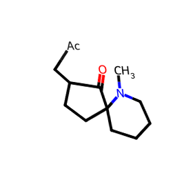 CC(=O)CC1CCC2(CCCCN2C)C1=O